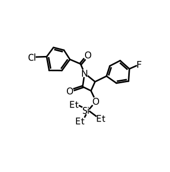 CC[Si](CC)(CC)OC1C(=O)N(C(=O)c2ccc(Cl)cc2)C1c1ccc(F)cc1